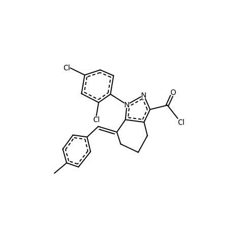 Cc1ccc(/C=C2\CCCc3c(C(=O)Cl)nn(-c4ccc(Cl)cc4Cl)c32)cc1